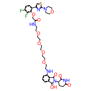 O=C(COc1c(-c2csc(N3CCOCC3)n2)ccc(F)c1F)NCCOCCOCCOCCOCCNc1cccc2c1C(=O)N(C1CCC(=O)NC1=O)[C@H]2O